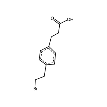 O=C(O)CCc1ccc(CCBr)cc1